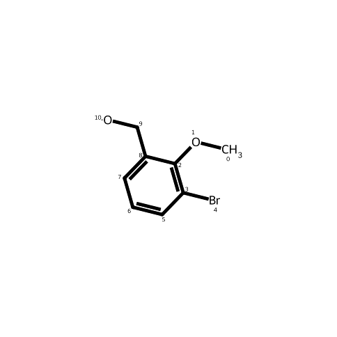 COc1c(Br)cccc1C[O]